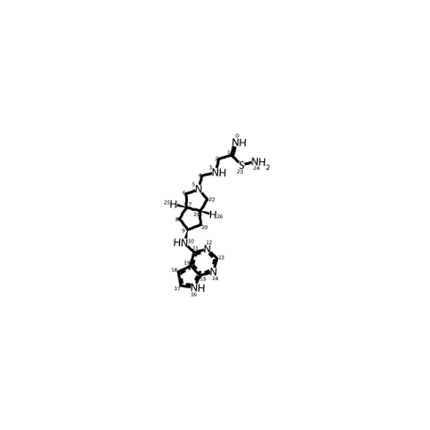 N=C(CNCN1C[C@H]2C[C@H](Nc3ncnc4[nH]ccc34)C[C@H]2C1)SN